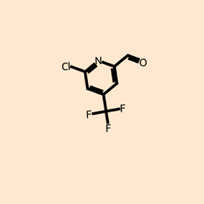 O=Cc1cc(C(F)(F)F)cc(Cl)n1